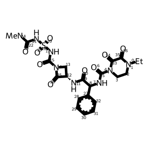 CCN1CCN(C(=O)NC(C(=O)N[C@H]2CN(C(=O)NS(=O)(=O)NC(=O)NC)C2=O)c2ccccc2)C(=O)C1=O